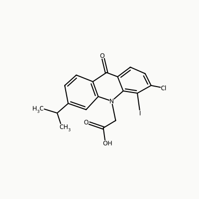 CC(C)c1ccc2c(=O)c3ccc(Cl)c(I)c3n(CC(=O)O)c2c1